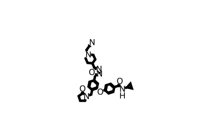 N#CCN1CCC(c2nnc(-c3ccc(CN4CCCC4=O)c(Oc4ccc(C(=O)NC5CC5)cc4)c3)o2)CC1